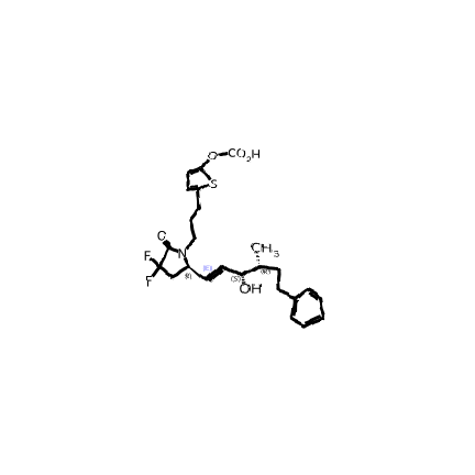 C[C@H](CCc1ccccc1)[C@H](O)/C=C/[C@H]1CC(F)(F)C(=O)N1CCCc1ccc(OC(=O)O)s1